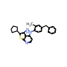 Cc1cc(Cc2ccccc2)ccc1N1Nc2c(C3CCCC3)sc3nccc1c23